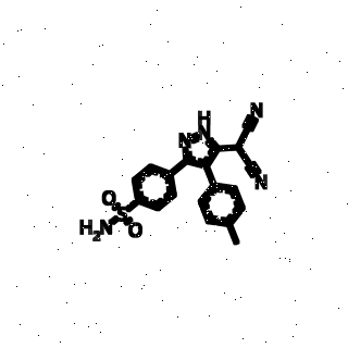 Cc1ccc(-c2c(-c3ccc(S(N)(=O)=O)cc3)n[nH]c2C(C#N)C#N)cc1